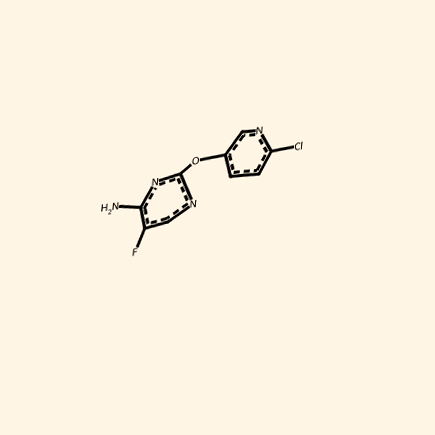 Nc1nc(Oc2ccc(Cl)nc2)ncc1F